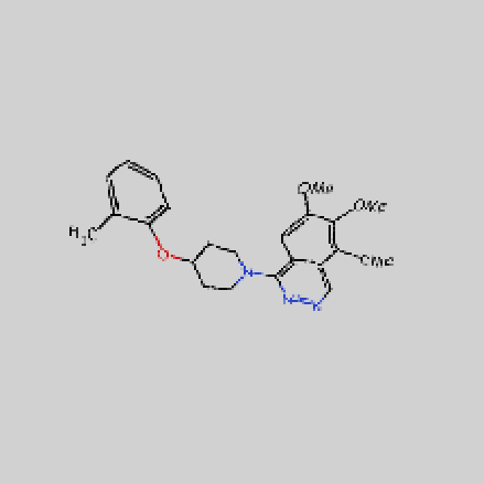 COc1cc2c(N3CCC(Oc4ccccc4C)CC3)nncc2c(OC)c1OC